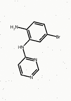 Nc1ccc(Br)cc1Nc1ccncn1